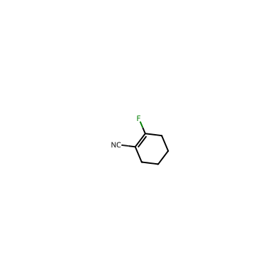 N#CC1=C(F)CCCC1